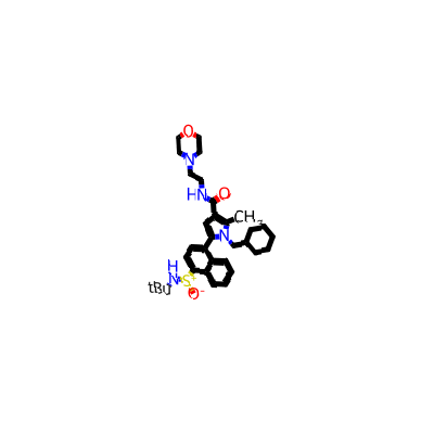 Cc1c(C(=O)NCCN2CCOCC2)cc(-c2ccc([S+]([O-])NC(C)(C)C)c3ccccc23)n1CC1CCCCC1